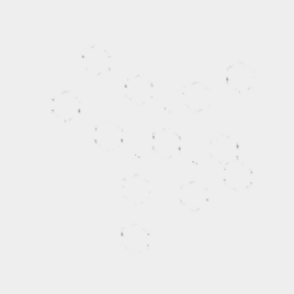 c1ccc(-c2ccc(N3c4ccc(-c5ccccc5)cc4B4c5cc(-c6ccccc6)ccc5N(c5ccc(-c6ccccc6)cc5)c5cc(N(c6ccccc6)c6cccc7ccccc67)cc3c54)cc2)cc1